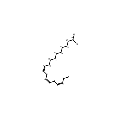 CC/C=C\C/C=C\C/C=C\CCCCCCCCN(C)C